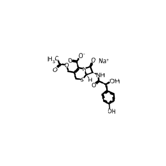 CC(=O)OCC1=C(C(=O)[O-])N2C(=O)[C@@H](NC(=O)C(O)c3ccc(O)cc3)[C@H]2SC1.[Na+]